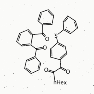 CCCCCCC(=O)C(=O)c1ccc(Sc2ccccc2)cc1.O=C(c1ccccc1)c1ccccc1C(=O)c1ccccc1